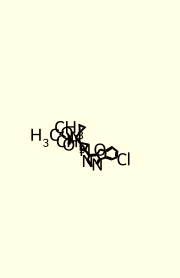 CC(C)(C)OC(=O)N(C1CC1)C1CN(c2ncnc3c2oc2ccc(Cl)cc23)C1